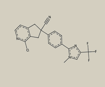 Cn1cc(C(F)(F)F)nc1-c1ccc(C2(C#N)Cc3ccnc(Cl)c3C2)cc1